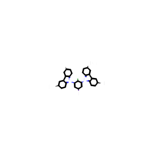 CC(C)(C)c1ccc2c(c1)c1cc(C(C)(C)C)ccc1n2-c1cc(I)cc(-n2c3ccc(C(C)(C)C)cc3c3cc(C(C)(C)C)ccc32)c1Br